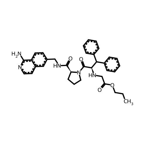 CCCOC(=O)CN[C@@H](C(=O)N1CCC[C@H]1C(=O)NCc1ccc2c(N)nccc2c1)C(c1ccccc1)c1ccccc1